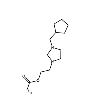 CC(=O)OCCN1CCN(CC2CCCC2)C1